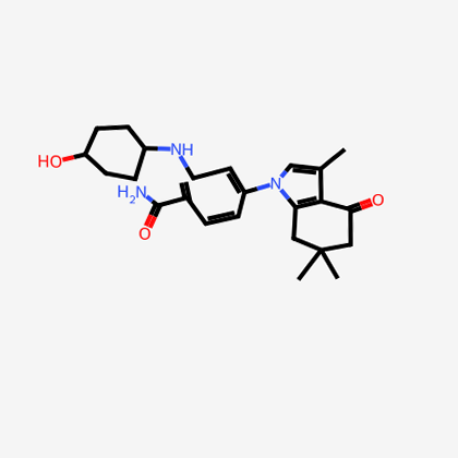 C=C(/C=C\C(=C/CNC1CCC(O)CC1)n1cc(C)c2c1CC(C)(C)CC2=O)C(N)=O